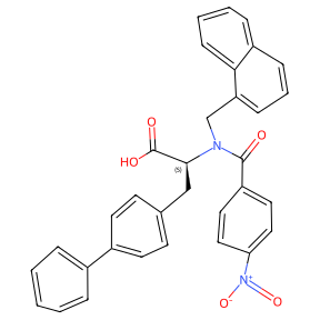 O=C(O)[C@H](Cc1ccc(-c2ccccc2)cc1)N(Cc1cccc2ccccc12)C(=O)c1ccc([N+](=O)[O-])cc1